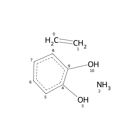 C=C.N.Oc1ccccc1O